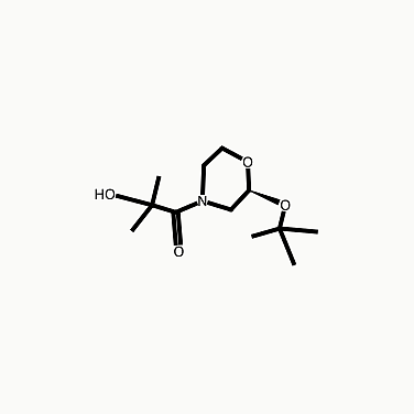 CC(C)(C)O[C@H]1CN(C(=O)C(C)(C)O)CCO1